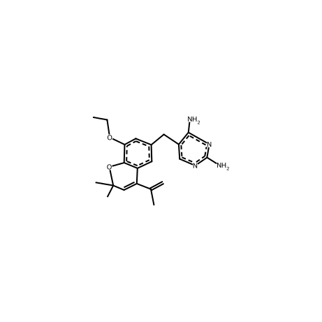 C=C(C)C1=CC(C)(C)Oc2c(OCC)cc(Cc3cnc(N)nc3N)cc21